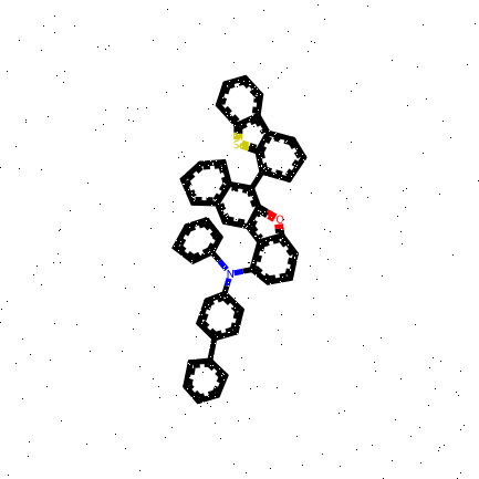 c1ccc(-c2ccc(N(c3ccccc3)c3cccc4oc5c(-c6cccc7c6sc6ccccc67)c6ccccc6cc5c34)cc2)cc1